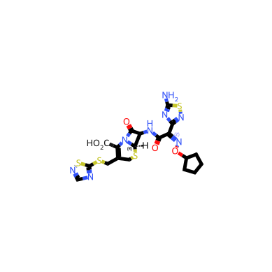 Nc1nc(/C(=N/OC2CCCC2)C(=O)NC2C(=O)N3C(C(=O)O)=C(CSc4ncns4)CS[C@H]23)ns1